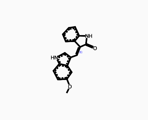 COc1ccc2[nH]cc(/C=C3/C(=O)Nc4ccccc43)c2c1